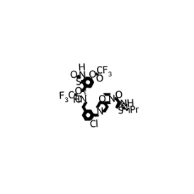 CC(C)N1NC(C(=O)N2CCOC3(CCN(Cc4cc(CCNC[C@H](OC(=O)C(F)(F)F)c5ccc(OC(=O)C(F)(F)F)c6[nH]c(=O)sc56)ccc4Cl)CC3)C2)=CS1